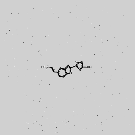 CC(C)(C)c1csc(-c2cc3cc(C=CC(=O)O)ccc3o2)n1